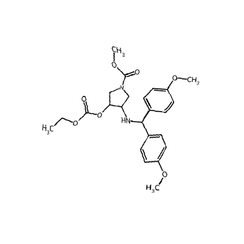 CCOC(=O)OC1CN(C(=O)OC)CC1NC(c1ccc(OC)cc1)c1ccc(OC)cc1